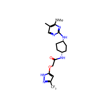 CNc1nc(N[C@H]2CC[C@@H](NC(=O)COc3cc(C(F)(F)F)n[nH]3)CC2)ncc1C